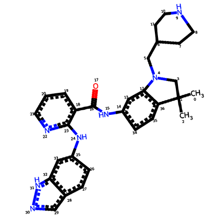 CC1(C)CN(CC2CCNCC2)c2cc(NC(=O)c3cccnc3Nc3ccc4cn[nH]c4c3)ccc21